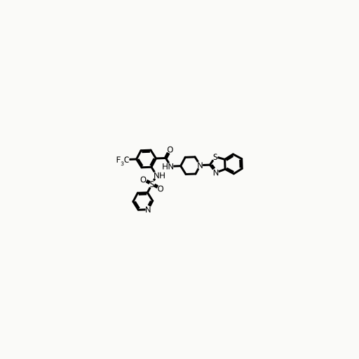 O=C(NC1CCN(c2nc3ccccc3s2)CC1)c1ccc(C(F)(F)F)cc1NS(=O)(=O)c1cccnc1